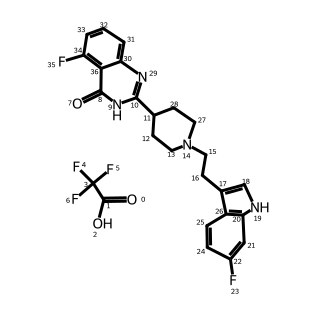 O=C(O)C(F)(F)F.O=c1[nH]c(C2CCN(CCc3c[nH]c4cc(F)ccc34)CC2)nc2cccc(F)c12